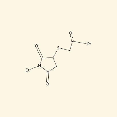 CCN1C(=O)CC(SCC(=O)C(C)C)C1=O